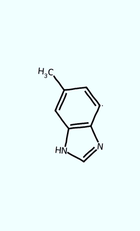 Cc1c[c]c2nc[nH]c2c1